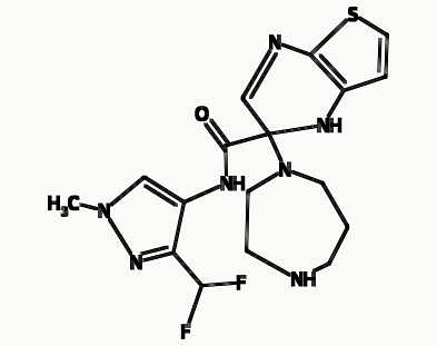 Cn1cc(NC(=O)C2(N3CCCNCC3)C=Nc3sccc3N2)c(C(F)F)n1